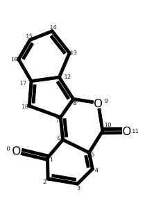 O=C1C=CC=c2c1c1c(oc2=O)=c2ccccc2=C1